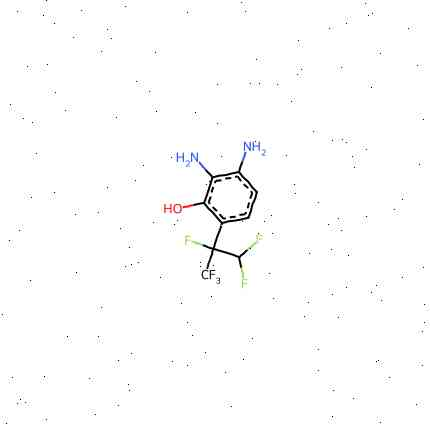 Nc1ccc(C(F)(C(F)F)C(F)(F)F)c(O)c1N